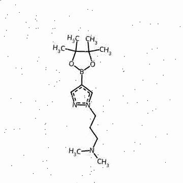 CN(C)CCCn1cc(B2OC(C)(C)C(C)(C)O2)cn1